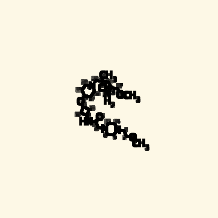 COCCN1CCN(CC(=O)NC2CC(OC3CCN(CC(C)(C)CC(N)COC)CC3)C2)CC1